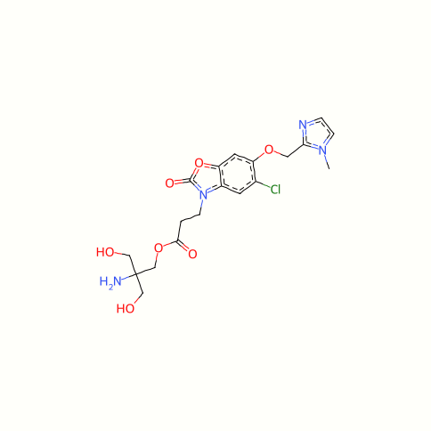 Cn1ccnc1COc1cc2oc(=O)n(CCC(=O)OCC(N)(CO)CO)c2cc1Cl